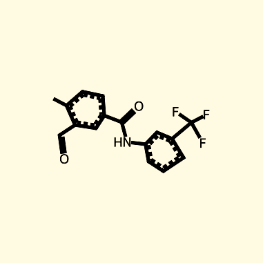 Cc1ccc(C(=O)Nc2cccc(C(F)(F)F)c2)cc1C=O